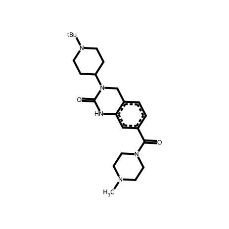 CN1CCN(C(=O)c2ccc3c(c2)NC(=O)N(C2CCN(C(C)(C)C)CC2)C3)CC1